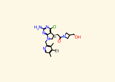 CCc1c(C)cnc(CN2C[C@H](CC(=O)N3CC(CO)C3)c3c(Cl)nc(N)nc32)c1C